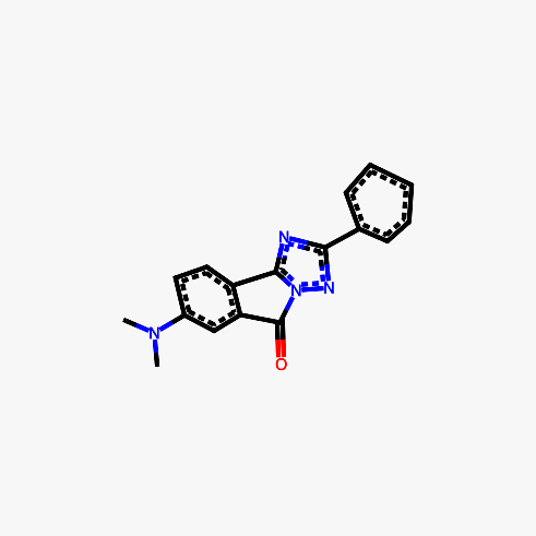 CN(C)c1ccc2c(c1)C(=O)n1nc(-c3ccccc3)nc1-2